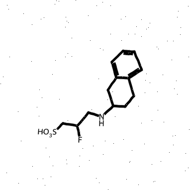 O=S(=O)(O)CC(F)CNC1CCc2ccccc2C1